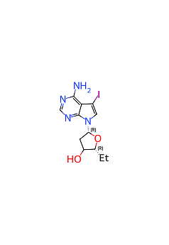 CC[C@H]1O[C@@H](n2cc(I)c3c(N)ncnc32)CC1O